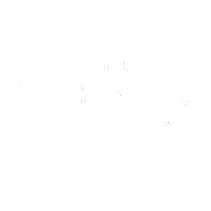 CCc1ccc(NC(=O)C(S)(C2=Nc3cc(OC)c(OC)cc3CN2)C(C=O)CCC2=CCCCC2)cc1